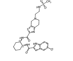 CS(=O)(=O)NCCN1CCc2nc(C(=O)N[C@@H]3CCCC[C@@H]3NC(=O)c3cc4cc(Cl)ccc4[nH]3)sc2C1